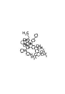 CCCCc1cc2c3c(c1)C1(C)CCCCC1(C)N3c1cc(N(c3ccccc3)c3ccccc3)cc3c1B2N(c1ccc(-c2ccccc2)cc1)c1cc2c(cc1-3)-c1cc3c(cc1C2(C)C)C(C)(C)CCC3(C)C